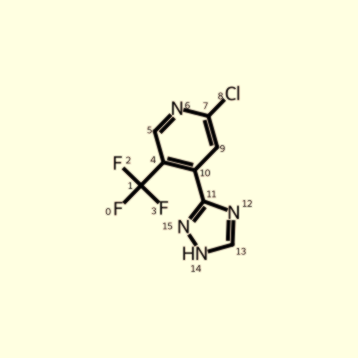 FC(F)(F)c1cnc(Cl)cc1-c1nc[nH]n1